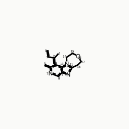 C=C/C(C)=c1\c(=C)ncc2nc3n(c12)CCOCC3